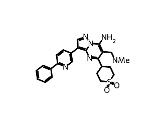 CNCc1c(C2CCS(=O)(=O)CC2)nc2c(-c3ccc(-c4ccccc4)nc3)cnn2c1N